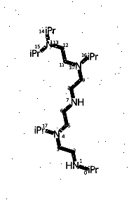 CC(C)NCCN(CCNCCN(CCN(C(C)C)C(C)C)C(C)C)C(C)C